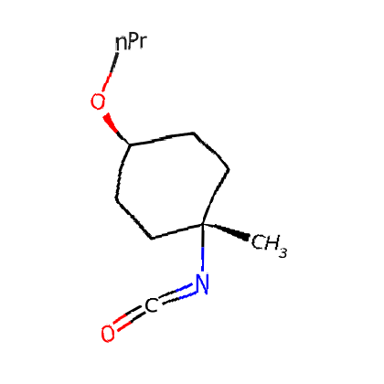 CCCO[C@H]1CC[C@](C)(N=C=O)CC1